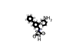 N[C@@H]1CCCN(c2cc(-c3ccccc3)ccc2/C=C2\SC(=O)NC2=O)C1